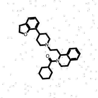 O=C(C1CCCCC1)N1CCc2ccccc2C1CCN1CCC(c2cccc3c2OCC3)CC1